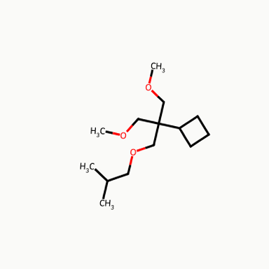 COCC(COC)(COCC(C)C)C1CCC1